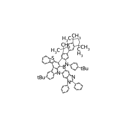 CC(C)(C)c1ccc(N2B3c4cc5nc(-c6ccccc6)n(-c6ccccc6)c5cc4-n4c5ccc(C(C)(C)C)cc5c5c6c(sc7ccccc76)c(c3c54)-c3cc4c(cc32)-c2cc3c(cc2C4(C)C)C(C)(C)CCC3(C)C)cc1